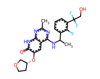 Cc1nc(NC(C)c2cccc(C(F)(F)CO)c2F)c2cc(O[C@@H]3CCOC3)c(=O)[nH]c2n1